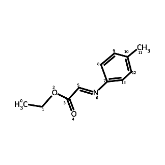 CCOC(=O)C=Nc1ccc(C)cc1